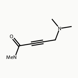 CNC(=O)C#CCN(C)C